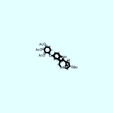 CCCC[C@H]1C[C@H]2c3[nH]c4ccc(OC5CC[C@@H](OC(C)=O)[C@@H](OC(C)=O)[C@H]5OC(C)=O)cc4c3CC[N@@](C1)C2C